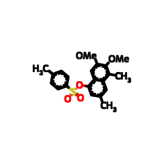 COc1cc2c(OS(=O)(=O)c3ccc(C)cc3)cc(C)cc2c(C)c1OC